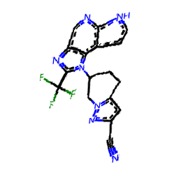 N#Cc1cc2n(n1)CC(n1c(C(F)(F)F)nc3cnc4[nH]ccc4c31)CC2